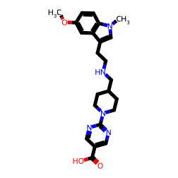 COc1ccc2c(c1)c(CCNCC1CCN(c3ncc(C(=O)O)cn3)CC1)cn2C